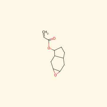 C=CC(=O)OC1CCC2CC3OC3CC21